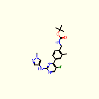 Cc1cc(-c2nc(Nc3cnn(C)c3)ncc2F)ccc1CNC(=O)OC(C)(C)C